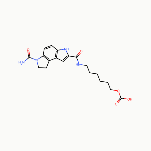 NC(=O)N1CCc2c1ccc1[nH]c(C(=O)NCCCCCCOC(=O)O)cc21